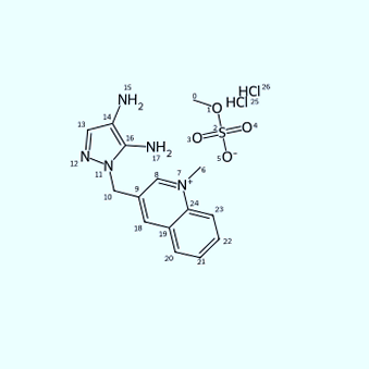 COS(=O)(=O)[O-].C[n+]1cc(Cn2ncc(N)c2N)cc2ccccc21.Cl.Cl